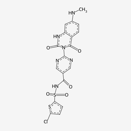 CNc1ccc2c(=O)n(-c3ncc(C(=O)NS(=O)(=O)c4ccc(Cl)s4)cn3)c(=O)[nH]c2c1